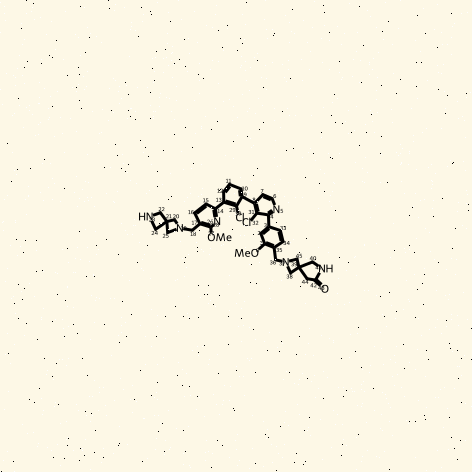 COc1cc(-c2nccc(-c3cccc(-c4ccc(CN5CC6(CNC6)C5)c(OC)n4)c3Cl)c2Cl)ccc1CN1CC2(CNC(=O)C2)C1